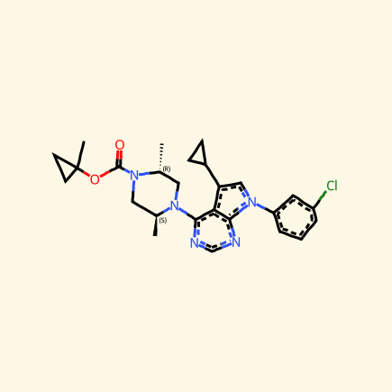 C[C@@H]1CN(c2ncnc3c2c(C2CC2)cn3-c2cccc(Cl)c2)[C@@H](C)CN1C(=O)OC1(C)CC1